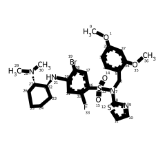 COc1ccc(CN(c2nccs2)S(=O)(=O)c2cc(Br)c(N[C@H]3CCCC[C@@H]3N(C)C)cc2F)c(OC)c1